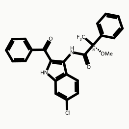 CO[C@@](C(=O)Nc1c(C(=O)c2ccccc2)[nH]c2cc(Cl)ccc12)(c1ccccc1)C(F)(F)F